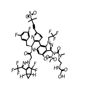 CN(CCNC(=O)O)C(=O)N(c1nn(CC(F)(F)F)c2c(-c3ccc(C#CC(C)(C)S(C)(=O)=O)nc3[C@H](Cc3cc(F)cc(F)c3)NC(=O)Cn3nc(C(F)(F)F)c4c3C(F)(F)[C@@H]3C[C@H]43)ccc(Cl)c12)S(C)(=O)=O